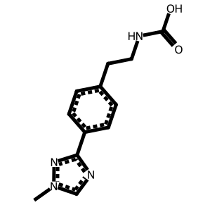 Cn1cnc(-c2ccc(CCNC(=O)O)cc2)n1